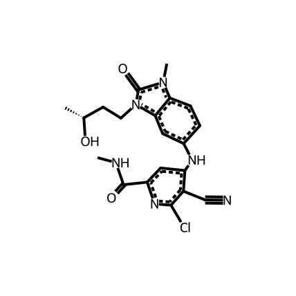 CNC(=O)c1cc(Nc2ccc3c(c2)n(CC[C@@H](C)O)c(=O)n3C)c(C#N)c(Cl)n1